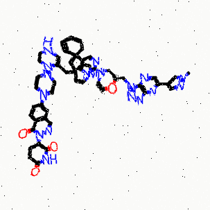 Cn1cc(-c2cnc3c(nnn3C[C@@H]3CN(c4ncc(C5(CC6(CC7CNCCN7N7CCN(c8ccc9c(=O)n(C%10CCC(=O)NC%10=O)ncc9c8)CC7)CCNCC6)C=CC=CC5)cn4)CCO3)n2)cn1